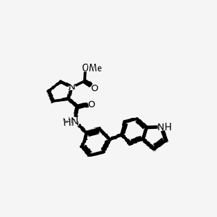 COC(=O)N1CCCC1C(=O)Nc1cccc(-c2ccc3[nH]ccc3c2)c1